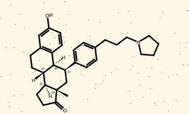 C[C@]12C[C@H](c3ccc(CCCN4CCCC4)cc3)[C@@H]3c4ccc(O)cc4CC[C@H]3[C@@H]1CCC2=O